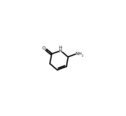 NC1C=CCC(=O)N1